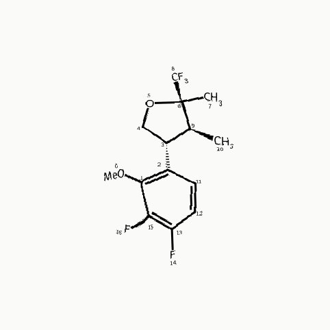 COc1c([C@@H]2CO[C@@](C)(C(F)(F)F)[C@H]2C)ccc(F)c1F